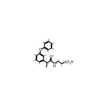 CC(C(=O)NCCS(=O)(=O)O)c1cccc(Oc2ccccc2)c1